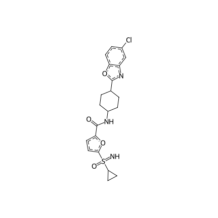 N=S(=O)(c1ccc(C(=O)NC2CCC(c3nc4cc(Cl)ccc4o3)CC2)o1)C1CC1